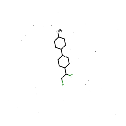 CCCC1CCC(C2CCC(C(F)CF)CC2)CC1